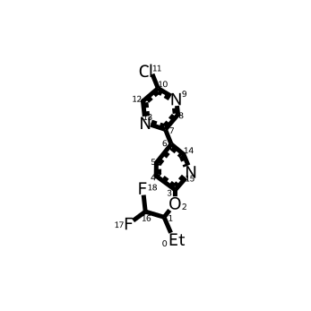 CCC(Oc1ccc(-c2cnc(Cl)cn2)cn1)C(F)F